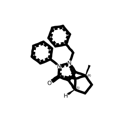 CC1(C)[C@@H]2CC[C@@]1(C)c1c2c(=O)n(-c2ccccc2)n1Cc1ccccc1